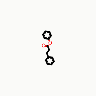 O=C(CCc1[c]cccc1)Oc1ccccc1